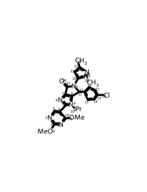 COc1ncc(-c2nc3c(n2C(C)C)C(c2ccc(Cl)cc2)N(c2cc(C)nn2C)C3=O)c(OC)n1